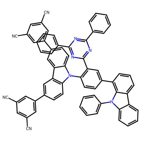 N#Cc1cc(C#N)cc(-c2ccc3c(c2)c2cc(-c4cc(C#N)cc(C#N)c4)ccc2n3-c2ccc(-c3cccc4c5ccccc5n(-c5ccccc5)c34)cc2-c2nc(-c3ccccc3)nc(-c3ccccc3)n2)c1